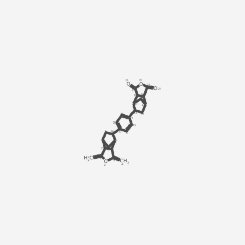 C=C1OC(=C)C2C3CC(CC3c3ccc(C4CC5CC4C4C(=O)OC(=O)C54)cc3)C12